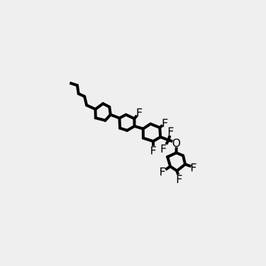 CCCCCC1CCC(C2CCC(C3CC(F)C(C(F)(F)OC4CC(F)C(F)C(F)C4)C(F)C3)C(F)C2)CC1